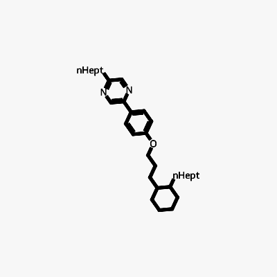 CCCCCCCc1cnc(-c2ccc(OCCCC3CCCCC3CCCCCCC)cc2)cn1